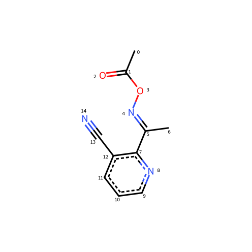 CC(=O)ON=C(C)c1ncccc1C#N